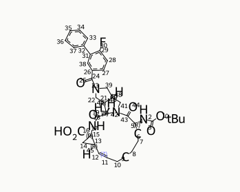 CC(C)(C)OC(=O)N[C@@H]1CCCCC/C=C\[C@H]2C[C@@]2(C(=O)O)NC(=O)[C@@H]2[C@H]3CN(C(=O)c4ccc(F)c(-c5ccccc5)c4)C[C@H]3CN2C1=O